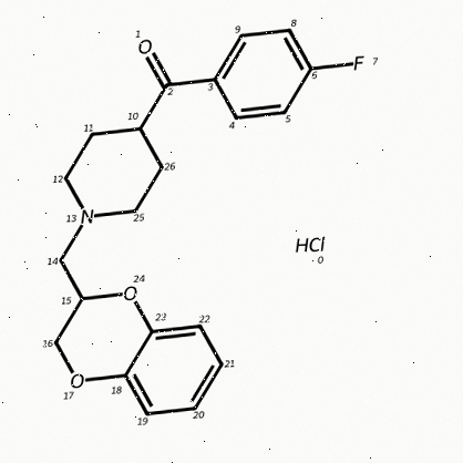 Cl.O=C(c1ccc(F)cc1)C1CCN(CC2COc3ccccc3O2)CC1